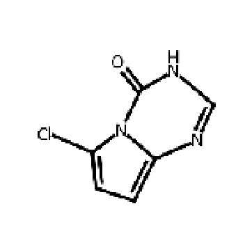 O=c1[nH]cnc2ccc(Cl)n12